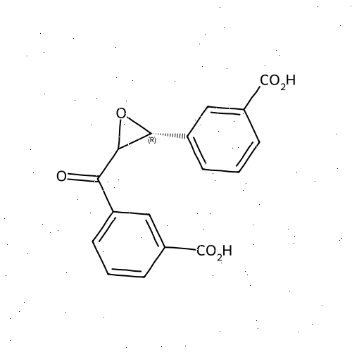 O=C(O)c1cccc(C(=O)C2O[C@@H]2c2cccc(C(=O)O)c2)c1